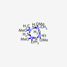 CC[N+]1(OC)[SiH2][N+](C)(OC)[SiH2][N+](C)(OC)[SiH2][N+](CC)(OC)[SiH2]1